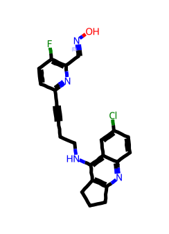 O/N=C/c1nc(C#CCCNc2c3c(nc4ccc(Cl)cc24)CCC3)ccc1F